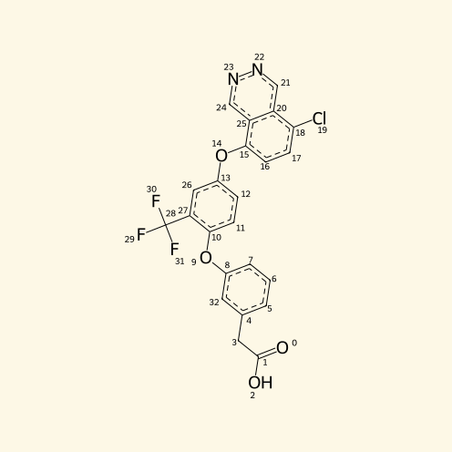 O=C(O)Cc1cccc(Oc2ccc(Oc3ccc(Cl)c4cnncc34)cc2C(F)(F)F)c1